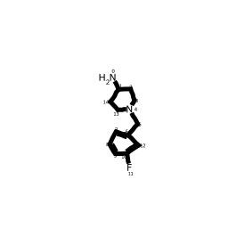 NC1CCN(Cc2cccc(F)c2)CC1